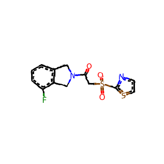 O=C(CS(=O)(=O)c1nccs1)N1Cc2cccc(F)c2C1